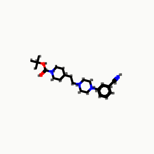 CC(C)(C)OC(=O)N1CCC(CCN2CCN(c3cccc(C#N)c3)CC2)CC1